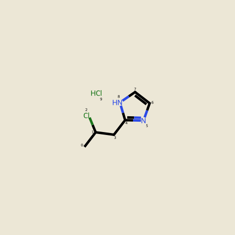 CC(Cl)Cc1ncc[nH]1.Cl